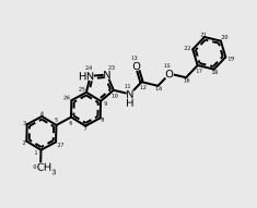 Cc1cccc(-c2ccc3c(NC(=O)COCc4ccccc4)n[nH]c3c2)c1